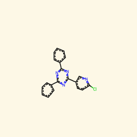 Clc1ccc(-c2nc(-c3ccccc3)nc(-c3ccccc3)n2)cn1